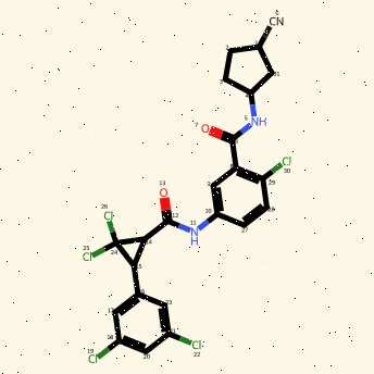 N#CC1CCC(NC(=O)c2cc(NC(=O)C3C(c4cc(Cl)cc(Cl)c4)C3(Cl)Cl)ccc2Cl)C1